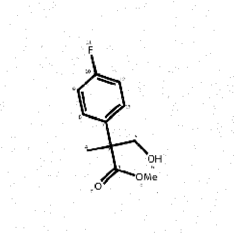 COC(=O)C(C)(CO)c1ccc(F)cc1